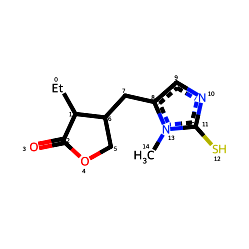 CCC1C(=O)OCC1Cc1cnc(S)n1C